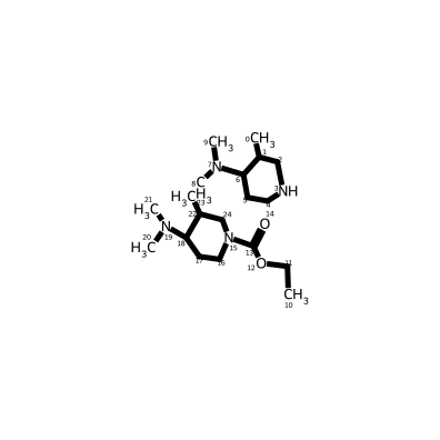 CC1CNCCC1N(C)C.CCOC(=O)N1CCC(N(C)C)C(C)C1